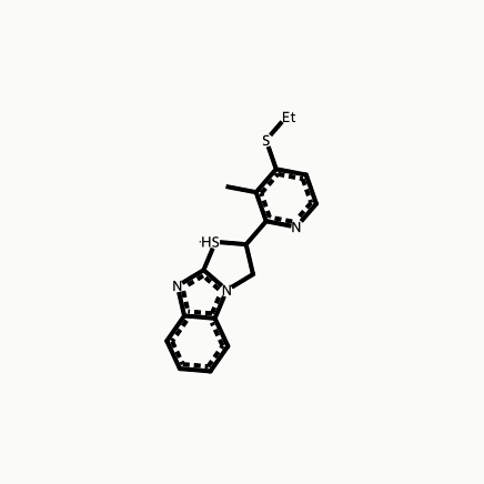 CCSc1ccnc(C2Cn3c(nc4ccccc43)[SH]2)c1C